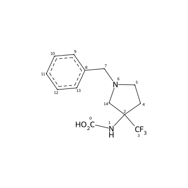 O=C(O)NC1(C(F)(F)F)CCN(Cc2ccccc2)C1